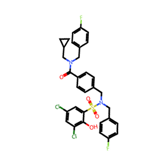 O=C(c1ccc(CN(Cc2ccc(F)cc2)S(=O)(=O)c2cc(Cl)cc(Cl)c2O)cc1)N(Cc1ccc(F)cc1)CC1CC1